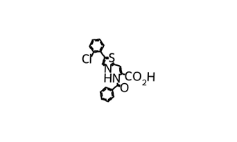 O=C(O)C(=Cc1ncc(-c2ccccc2Cl)s1)NC(=O)c1ccccc1